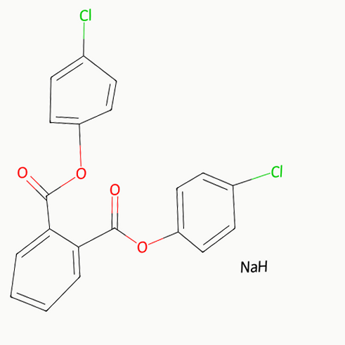 O=C(Oc1ccc(Cl)cc1)c1ccccc1C(=O)Oc1ccc(Cl)cc1.[NaH]